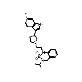 CC(C)N1Cc2ccccc2N(CCN2CCC(c3c[nH]c4cc(F)ccc34)C2)S1(=O)=O